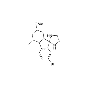 COC1CC(C)C2c3ccc(Br)cc3C3(NCCN3)C2C1